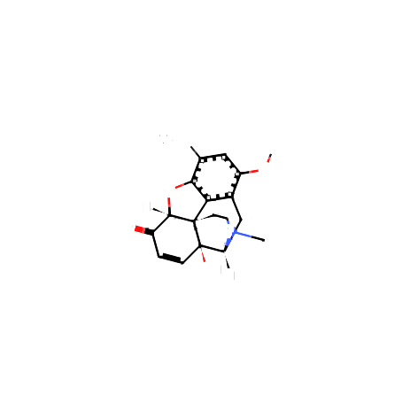 COc1cc(OS(=O)(=O)O)c2c3c1O[C@H]1C(=O)C=C[C@@]4(O)[C@@H](C2)N(C)CC[C@]314